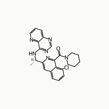 C[C@H](Nc1ncnc2cccnc12)c1cc2cccc(Cl)c2c(C(=O)N2CCCCC2)n1